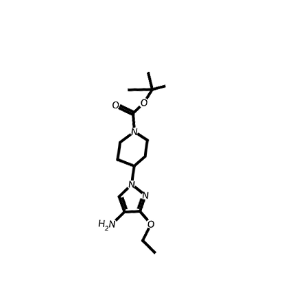 CCOc1nn(C2CCN(C(=O)OC(C)(C)C)CC2)cc1N